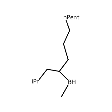 CBC(CCCCCCCC)CC(C)C